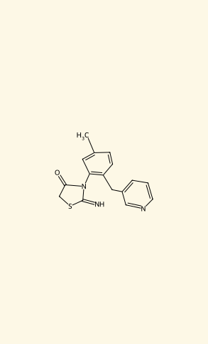 Cc1ccc(Cc2cccnc2)c(N2C(=N)SCC2=O)c1